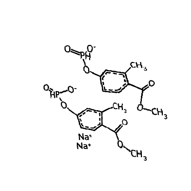 COC(=O)c1ccc(O[PH](=O)[O-])cc1C.COC(=O)c1ccc(O[PH](=O)[O-])cc1C.[Na+].[Na+]